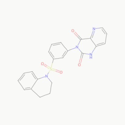 O=c1[nH]c2cccnc2c(=O)n1-c1cccc(S(=O)(=O)N2CCCc3ccccc32)c1